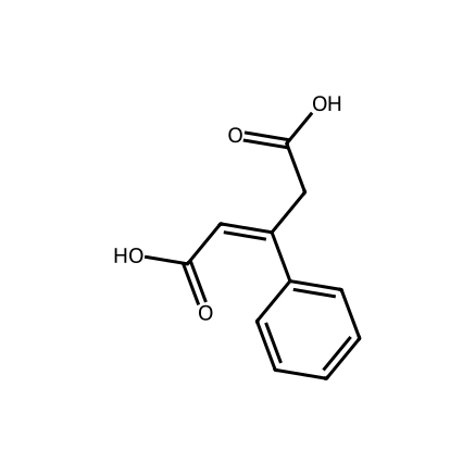 O=C(O)/C=C(/CC(=O)O)c1ccccc1